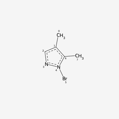 Cc1cnn(Br)c1C